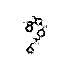 O=C(CN1CCC(Nc2ncc(Cl)c(-c3c[nH]c4ccccc34)n2)CC1)NCc1cccnc1